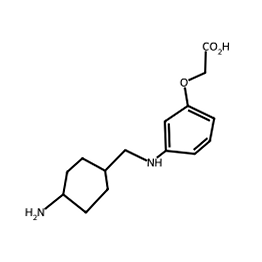 NC1CCC(CNc2cccc(OCC(=O)O)c2)CC1